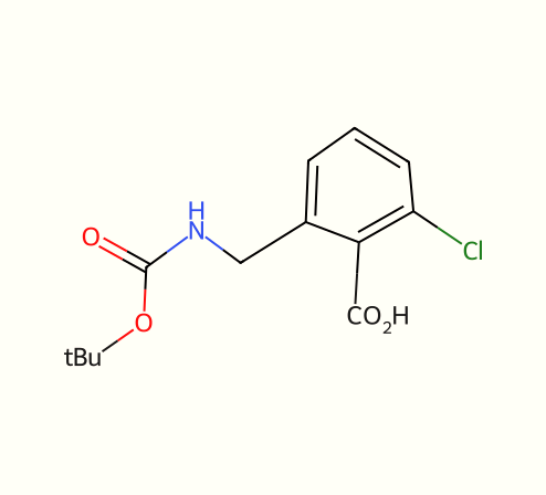 CC(C)(C)OC(=O)NCc1cccc(Cl)c1C(=O)O